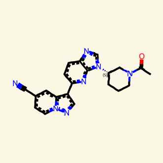 CC(=O)N1CCC[C@H](n2cnc3ccc(-c4cnn5ccc(C#N)cc45)nc32)C1